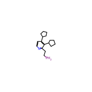 PCCc1nccc(C2CCCC2)c1C1CCCC1